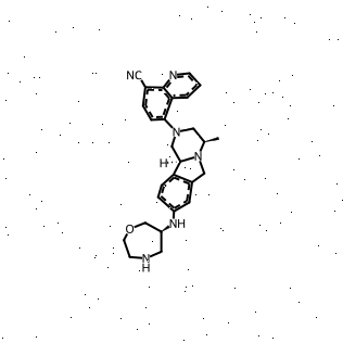 C[C@@H]1CN(c2ccc(C#N)c3ncccc23)C[C@@H]2c3ccc(N[C@H]4CNCCOC4)cc3CN12